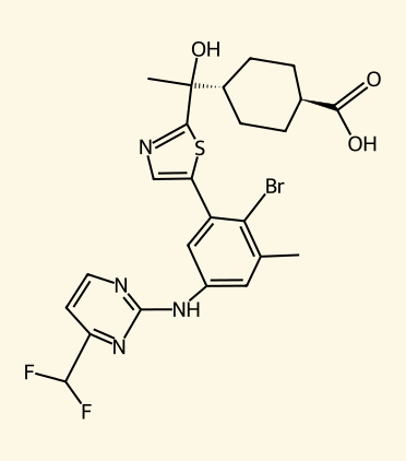 Cc1cc(Nc2nccc(C(F)F)n2)cc(-c2cnc(C(C)(O)[C@H]3CC[C@H](C(=O)O)CC3)s2)c1Br